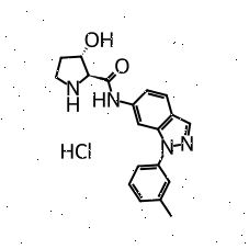 Cc1cccc(-n2ncc3ccc(NC(=O)[C@H]4NCC[C@@H]4O)cc32)c1.Cl